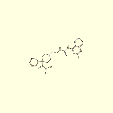 CCN(CC)C(=O)C1(c2ccccc2)CCN(CCNC(=O)Nc2cc(C)nc3ccccc23)CC1